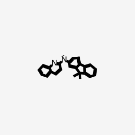 CN(c1ccc2c(c1)C(C)(C)c1ccccc1-2)c1ccc2ccccc2n1